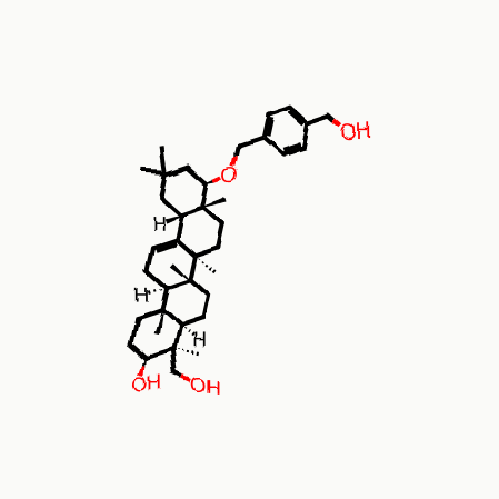 CC1(C)C[C@@H](OCc2ccc(CO)cc2)[C@]2(C)CC[C@]3(C)C(=CC[C@@H]4[C@@]5(C)CC[C@H](O)[C@](C)(CO)[C@@H]5CC[C@]43C)[C@@H]2C1